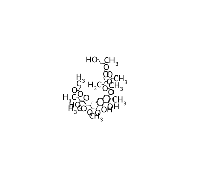 CCC(=O)O[C@H](C)[C@H](O)C(=O)[C@@H](OC)[C@@H]1Cc2cc3cc(OC(C)OC(C)[C@@H](COCOC(C)CCO)OC(C)=O)c(C)c(O)c3c(O)c2C(=O)[C@H]1OC